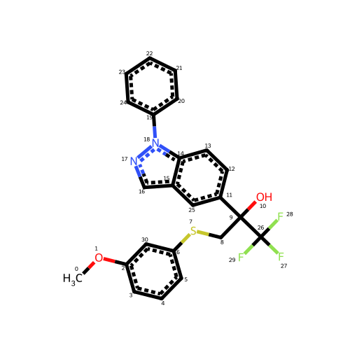 COc1cccc(SCC(O)(c2ccc3c(cnn3-c3ccccc3)c2)C(F)(F)F)c1